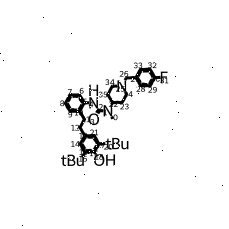 CN(C(=O)Nc1ccccc1CCc1cc(C(C)(C)C)c(O)c(C(C)(C)C)c1)C1CCN(Cc2ccc(F)cc2)CC1